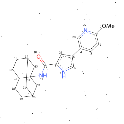 COc1ccc(-c2c[nH]c(C(=O)NC34CC5CCC3CCC(C5)C4)c2)cn1